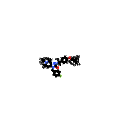 [2H]C([2H])(NC(=O)N(Cc1ccc(F)cc1)C1CC([2H])([2H])N(C([2H])([2H])[2H])C([2H])([2H])C1)c1ccc(OC([2H])([2H])C([2H])(C([2H])([2H])[2H])C([2H])([2H])[2H])cc1